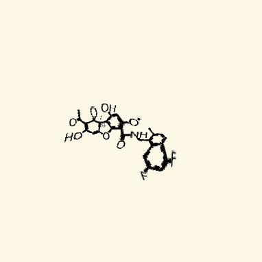 COc1cc(O)c2c(c1C(=O)NCc1c(C)ccc3c(F)cc(F)cc13)OC1=CC(O)=C(C(C)=O)C(=O)[C@]12C